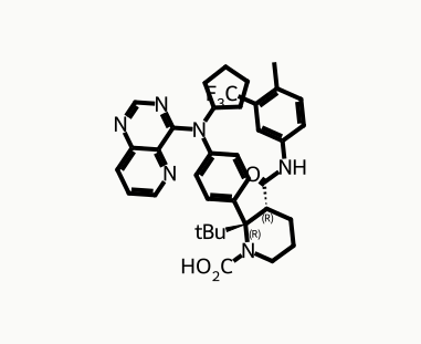 Cc1ccc(NC(=O)[C@@H]2CCCN(C(=O)O)[C@@]2(c2ccc(N(c3ncnc4cccnc34)C3CCCC3)cc2)C(C)(C)C)cc1C(F)(F)F